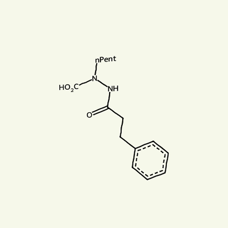 CCCCCN(NC(=O)CCc1ccccc1)C(=O)O